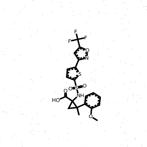 COc1ccccc1C1(C)CC1(NS(=O)(=O)c1ccc(-c2cc(C(F)(F)F)on2)s1)C(=O)O